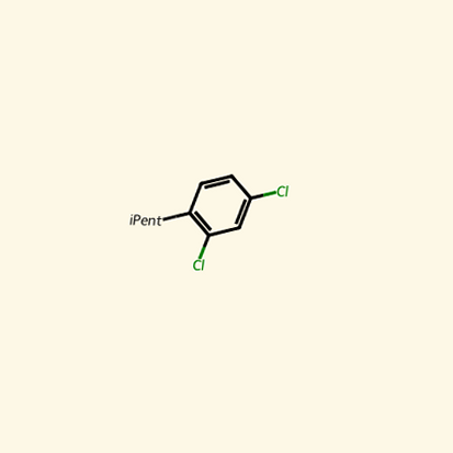 CCCC(C)c1ccc(Cl)cc1Cl